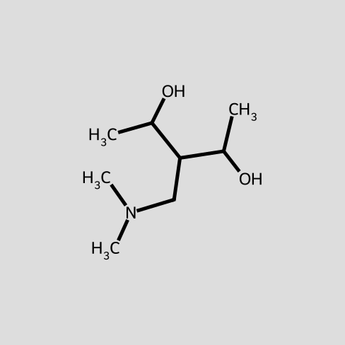 CC(O)C(CN(C)C)C(C)O